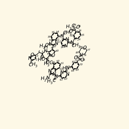 Cc1cc(CC(=O)Nc2c(-c3nc4c(N(C)c5ccnc(N(C)c6cccc(S(C)(=O)=O)c6)n5)cccc4n3C)coc2C(=O)O)on1.Cc1cccc2c1nc(N)n2N(C)c1ccnc(Nc2cccc(S(=O)(=O)N3CCOCC3)c2)n1